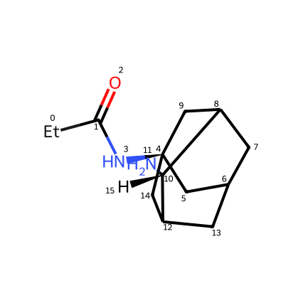 CCC(=O)N[C@]12CC3CC(C1)[C@@H](N)C(C3)C2